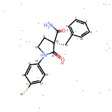 NC(=O)[C@]1(Cc2ccccc2)CCN(c2ccc(F)cc2)C1=O